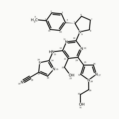 Cc1ccc([C@@H]2CCCN2c2nc(Nc3ncc(C#N)s3)c(CO)c(-c3cnn(CCO)c3)n2)cc1